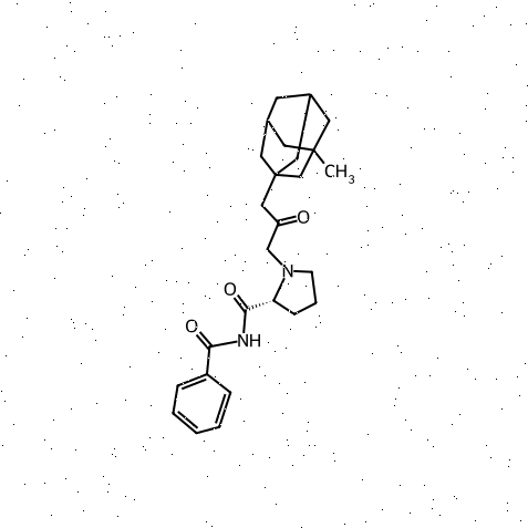 CC12CC3CC(C1)CC(CC(=O)CN1CCC[C@@H]1C(=O)NC(=O)c1ccccc1)(C3)C2